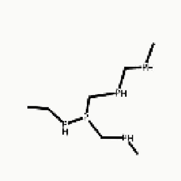 CCPP(CPC)CPCPC